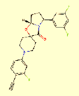 C#Cc1ccc(N2CCC3(CC2)O[C@@H]2CC[C@@H](c4cc(F)cc(F)c4)N2C3=O)cc1F